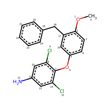 COc1ccc(Oc2c(Cl)cc(N)cc2Cl)cc1Cc1ccccc1